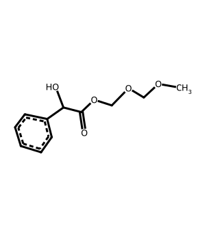 COCOCOC(=O)C(O)c1ccccc1